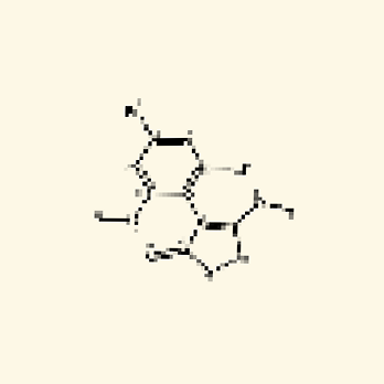 COC1=C(c2c(Cl)cc(Br)cc2OC)C(=O)CC1